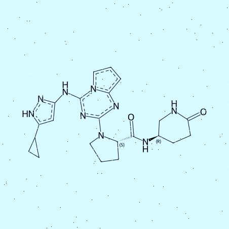 O=C1CC[C@@H](NC(=O)[C@@H]2CCCN2c2nc(Nc3cc(C4CC4)[nH]n3)n3cccc3n2)CN1